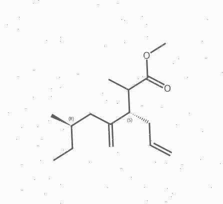 C=CC[C@H](C(=C)C[C@H](C)CC)C(C)C(=O)OC